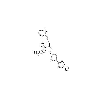 COC(=O)C(CCCc1ccccc1)CCc1ccc(-c2ccc(Cl)cc2)cc1